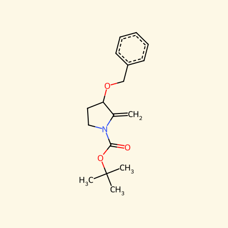 C=C1C(OCc2ccccc2)CCN1C(=O)OC(C)(C)C